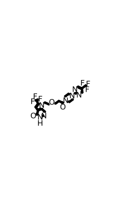 O=C(CCOCCn1c(C(F)(F)F)cc2c(=O)[nH]ncc21)N1CCN(c2ncc(C(F)(F)F)cn2)CC1